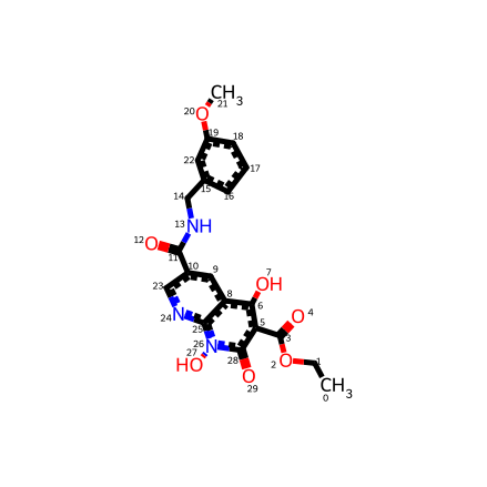 CCOC(=O)c1c(O)c2cc(C(=O)NCc3cccc(OC)c3)cnc2n(O)c1=O